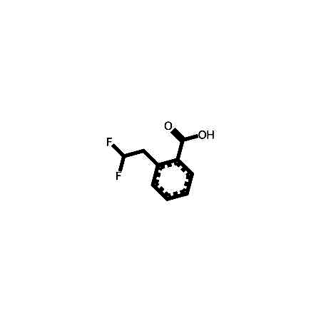 O=C(O)c1ccccc1CC(F)F